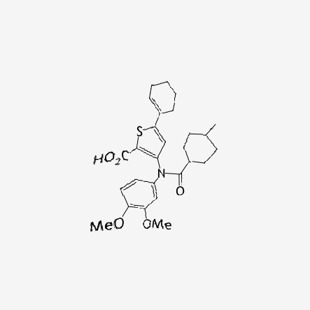 COc1ccc(N(C(=O)C2CCC(C)CC2)c2cc(C3=CCCCC3)sc2C(=O)O)cc1OC